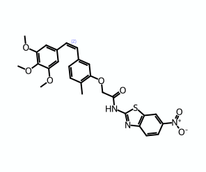 COc1cc(/C=C\c2ccc(C)c(OCC(=O)Nc3nc4ccc([N+](=O)[O-])cc4s3)c2)cc(OC)c1OC